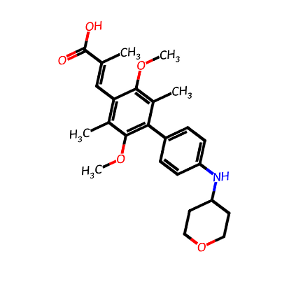 COc1c(C)c(-c2ccc(NC3CCOCC3)cc2)c(OC)c(C)c1/C=C(\C)C(=O)O